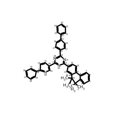 CC1(C)c2ccccc2-c2ccc(-c3nc(-c4ccc(-c5ccccc5)cc4)nc(-c4ccc(-c5ccccc5)nc4)n3)cc2C1(C)C